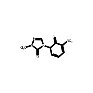 O=c1n(C2C=CC=C([N+](=O)[O-])C2=S)cnn1C(Cl)(Cl)Cl